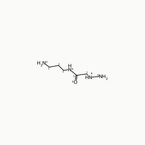 NCCCNC(=O)CNN